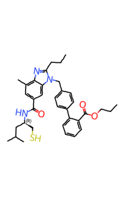 CCCOC(=O)c1ccccc1-c1ccc(Cn2c(CCC)nc3c(C)cc(C(=O)N[C@@H](CS)CC(C)C)cc32)cc1